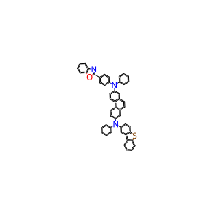 c1ccc(N(c2ccc(-c3nc4ccccc4o3)cc2)c2ccc3c(ccc4cc(N(c5ccccc5)c5ccc6sc7ccccc7c6c5)ccc43)c2)cc1